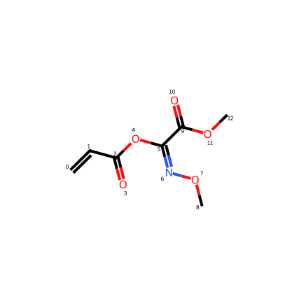 C=CC(=O)OC(=NOC)C(=O)OC